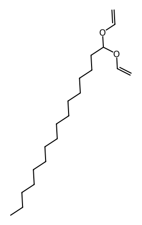 C=COC(CCCCCCCCCCCCCCC)OC=C